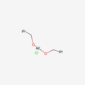 CC(C)C[O][Al+][O]CC(C)C.[Cl-]